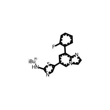 CC[C@@H](C)Nc1ncc(-c2cc(-c3ccccc3F)c3nccn3c2)s1